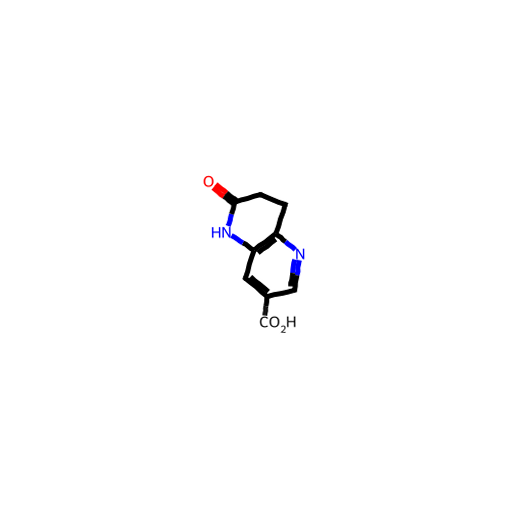 O=C1CCc2ncc(C(=O)O)cc2N1